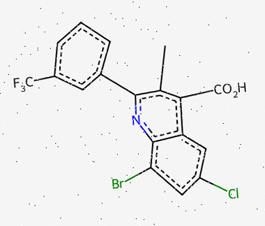 Cc1c(-c2cccc(C(F)(F)F)c2)nc2c(Br)cc(Cl)cc2c1C(=O)O